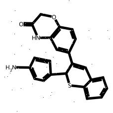 Nc1ccc(C2Sc3ccccc3C=C2c2ccc3c(c2)NC(=O)CO3)cc1